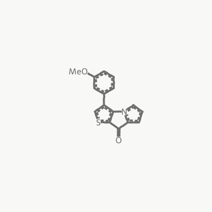 COc1cccc(-c2csc3c2-n2cccc2C3=O)c1